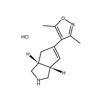 Cc1noc(C)c1C1=C[C@@H]2CNC[C@@H]2C1.Cl